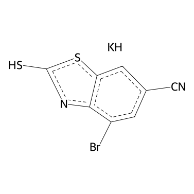 N#Cc1cc(Br)c2nc(S)sc2c1.[KH]